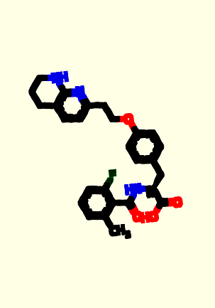 Cc1cccc(F)c1C(=O)N[C@@H](Cc1ccc(OCCc2ccc3c(n2)NCCC3)cc1)C(=O)O